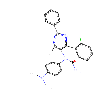 Cc1nc(-c2ccccc2)nc(-c2ccccc2Cl)c1N(C(N)=O)c1ccc(N(C)C)cc1